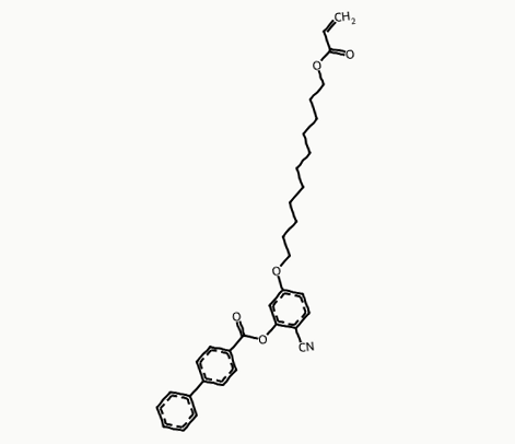 C=CC(=O)OCCCCCCCCCCCOc1ccc(C#N)c(OC(=O)c2ccc(-c3ccccc3)cc2)c1